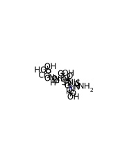 C[C@H](O/N=C(\C(=O)N[C@@H]1C(=O)N2C(C(=O)O)=C(C[N+]34CCC[C@@H]3CN(C(=O)c3ccc(O)c(O)c3Cl)CC4)CS[C@H]12)c1csc(N)n1)C(=O)O